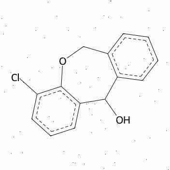 OC1c2ccccc2COc2c(Cl)cccc21